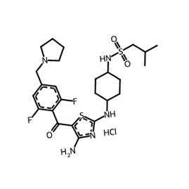 CC(C)CS(=O)(=O)NC1CCC(Nc2nc(N)c(C(=O)c3c(F)cc(CN4CCCC4)cc3F)s2)CC1.Cl